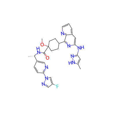 COC1(C(=O)N[C@@H](C)c2ccc(-n3cc(F)cn3)nc2)CCC(c2nc(Nc3cc(C)[nH]n3)cc3cccnc23)CC1